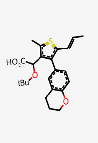 CC=Cc1sc(C)c(C(OC(C)(C)C)C(=O)O)c1-c1ccc2c(c1)CCCO2